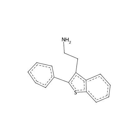 NCCc1c(-c2ccccc2)sc2ccccc12